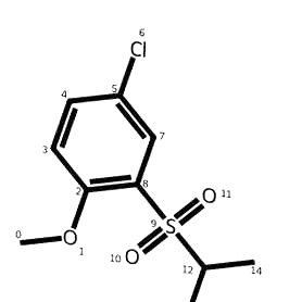 COc1ccc(Cl)cc1S(=O)(=O)C(C)C